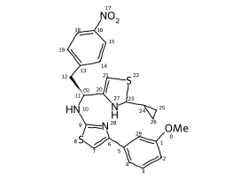 COc1cccc(-c2csc(N[C@@H](Cc3ccc([N+](=O)[O-])cc3)C3=CSC(C4CC4)N3)n2)c1